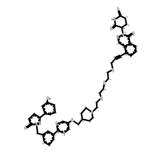 N#Cc1cccc(-c2ccc(=O)n(Cc3cccc(-c4ncc(OCC5CCN(CCOCCOCCOCC#Cc6cccc7c(=O)n(C8CCC(=O)NC8=O)ncc67)CC5)cn4)c3)n2)c1